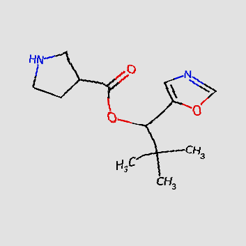 CC(C)(C)C(OC(=O)C1CCNC1)c1cnco1